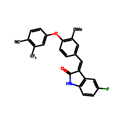 COc1cc(C=C2C(=O)Nc3ccc(F)cc32)ccc1Oc1ccc(C#N)c(C(F)(F)F)c1